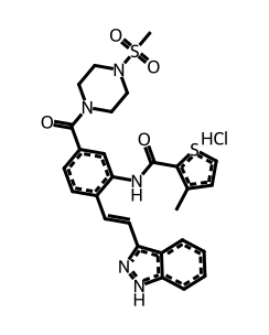 Cc1ccsc1C(=O)Nc1cc(C(=O)N2CCN(S(C)(=O)=O)CC2)ccc1C=Cc1n[nH]c2ccccc12.Cl